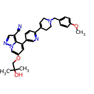 COc1ccc(CN2CC=C(c3ccc(-c4cc(OCC(C)(C)O)cn5ncc(C#N)c45)cn3)CC2)cc1